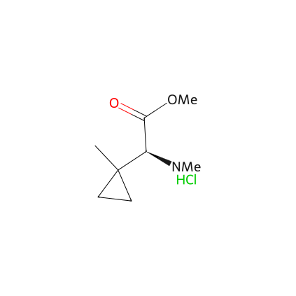 CN[C@H](C(=O)OC)C1(C)CC1.Cl